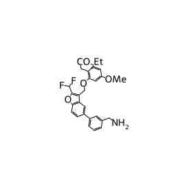 CCOC(=O)Cc1ccc(OC)cc1OCc1c(C(F)F)oc2ccc(-c3cccc(CN)c3)cc12